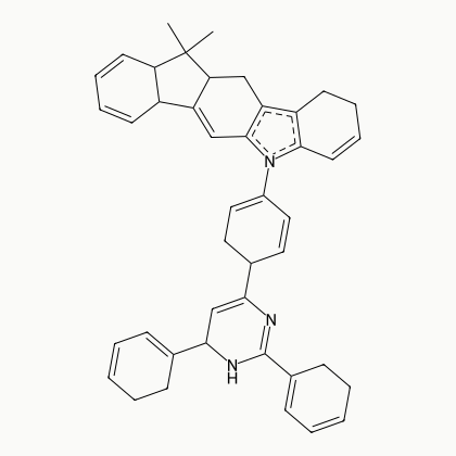 CC1(C)C2Cc3c4c(n(C5=CCC(C6=CC(C7=CC=CCC7)NC(C7=CC=CCC7)=N6)C=C5)c3C=C2C2C=CC=CC21)C=CCC4